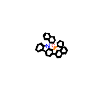 O=P1(c2ccccc2)c2c(ccc3ccccc23)-c2ccc3c4ccccc4n(-c4cccc5ccccc45)c3c21